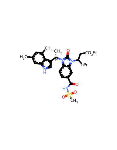 CCCC(CC(=O)OCC)n1c(=O)n([C@@H](C)c2c[nH]c3cc(C)cc(C)c23)c2ccc(C(=O)NS(C)(=O)=O)cc21